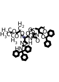 C=C(O/N=C(\C(=O)N[C@@H]1C(=O)N2C(C(=O)OC(c3ccccc3)c3ccccc3)=C(CI)C[S+]([O-])[C@H]12)c1csc(NC(c2ccccc2)(c2ccccc2)c2ccccc2)n1)C(=O)OC(C)(C)C